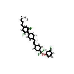 C=CCCc1cc(F)c(C2CCC(/C=C/C3CCC(C(F)(F)Oc4cccc(F)c4)CC3)CC2)c(F)c1